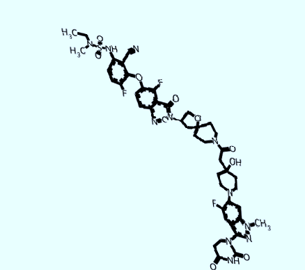 CCN(C)S(=O)(=O)Nc1ccc(F)c(Oc2ccc3ncn([C@H]4COC5(CCN(C(=O)CC6(O)CCN(c7cc8c(cc7F)c(N7CCC(=O)NC7=O)nn8C)CC6)CC5)C4)c(=O)c3c2F)c1C#N